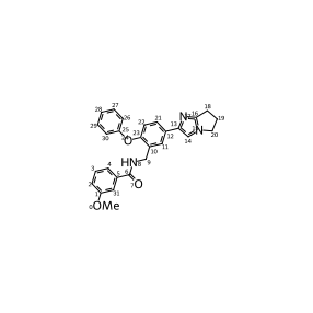 COc1cccc(C(=O)NCc2cc(-c3cn4c(n3)CCC4)ccc2Oc2ccccc2)c1